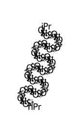 CCC[Si](C)(C)O[Si](C)(C)O[Si](C)(C)O[Si](C)(C)O[Si](C)(C)O[Si](C)(C)O[Si](C)(C)O[Si](C)(C)O[Si](C)(C)O[Si](C)(C)O[Si](C)(C)O[Si](C)(C)O[Si](C)(C)O[Si](C)(C)O[Si](C)(C)O[Si](C)(C)O[Si](C)(C)O[Si](C)(C)O[Si](C)(C)O[Si](C)(C)O[Si](C)(C)O[Si](C)(C)O[Si](C)(C)O[Si](C)(C)O[Si](C)(C)O[Si](C)(C)OC(C)C